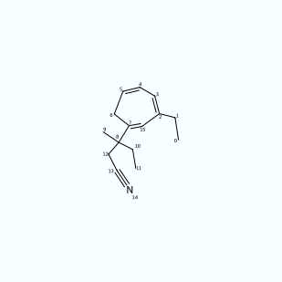 CCC1=CC=CCC(C(C)(CC)CC#N)=C1